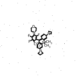 C[Si]1(C)C2=CC(N3CCC3)C=CC2=C(c2c(F)c(N3CCOCC3)c(F)c(F)c2C(=O)O)c2ccc(N3CCC3)cc21